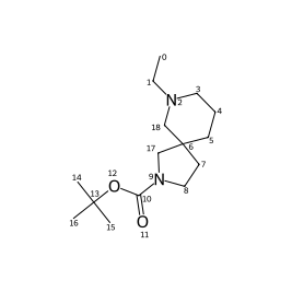 CCN1CCCC2(CCN(C(=O)OC(C)(C)C)C2)C1